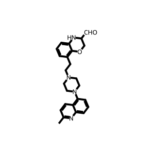 Cc1ccc2c(N3CCN(CCc4cccc5c4OCC(C=O)N5)CC3)cccc2n1